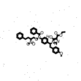 CCOC(=O)c1nnn(C(Cc2ccc(OC)cc2)c2ccc(N(OCC(CCc3ccccc3)[N+](=O)[O-])C(=O)c3ccccc3)cc2)c1O